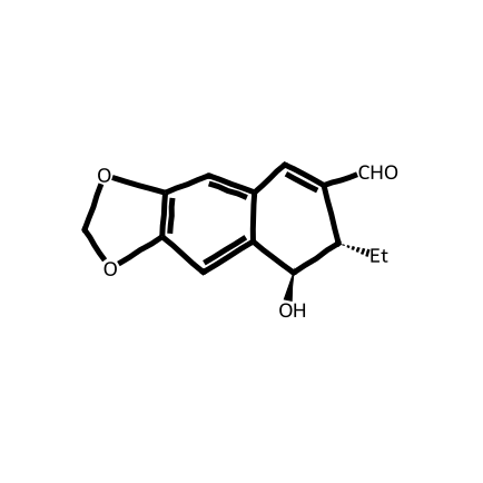 CC[C@H]1C(C=O)=Cc2cc3c(cc2[C@@H]1O)OCO3